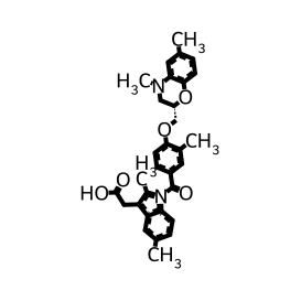 Cc1ccc2c(c1)N(C)C[C@@H](COc1ccc(C(=O)n3c(C)c(CC(=O)O)c4cc(C)ccc43)cc1C)O2